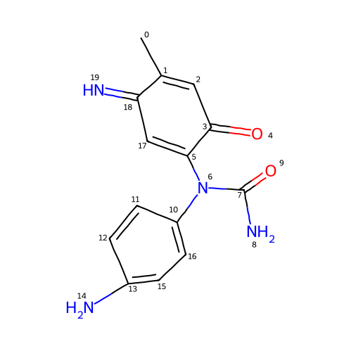 CC1=CC(=O)C(N(C(N)=O)c2ccc(N)cc2)=CC1=N